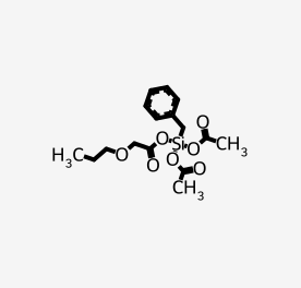 CCCOCC(=O)O[Si](Cc1ccccc1)(OC(C)=O)OC(C)=O